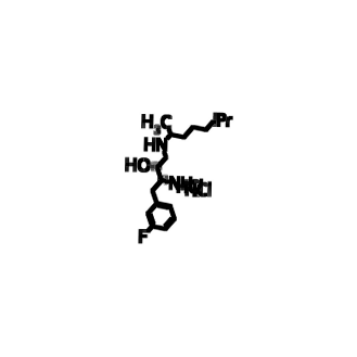 CC(C)CCCC(C)NC[C@@H](O)[C@@H](N)Cc1cccc(F)c1.Cl.Cl